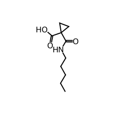 CCCCCNC(=O)C1(C(=O)O)CC1